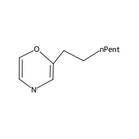 CCCCCCCC1=C[N]C=CO1